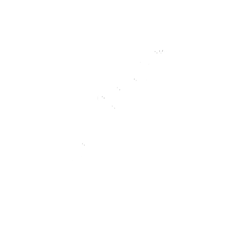 CNC(=O)c1ccccc1Nc1nc(Nc2ccc3c(c2)CCN(C2CCCC2)CC3)ncc1Cl